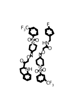 O=C(CON=C1CCN(S(=O)(=O)c2cccc(C(F)(F)F)c2)CC1)C1CCc2ccccc2N1.O=C(CON=C1CCN(S(=O)(=O)c2cccc(C(F)(F)F)c2)CC1)NCc1ccc(F)cc1